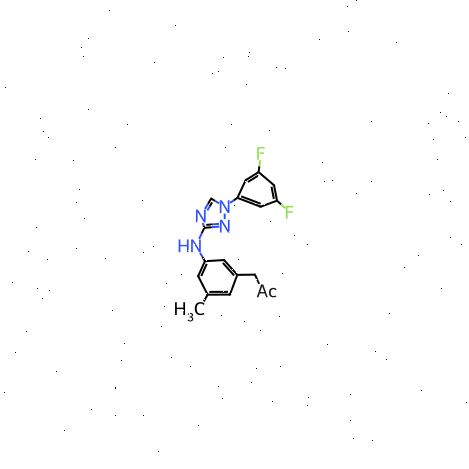 CC(=O)Cc1cc(C)cc(Nc2ncn(-c3cc(F)cc(F)c3)n2)c1